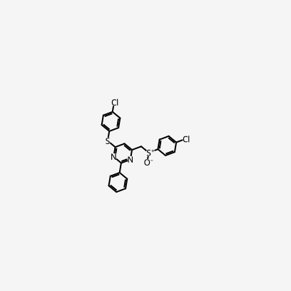 [O-][S+](Cc1cc(Sc2ccc(Cl)cc2)nc(-c2ccccc2)n1)c1ccc(Cl)cc1